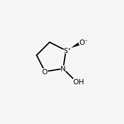 [O-][S@+]1CCON1O